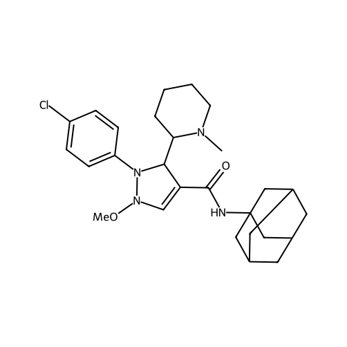 CON1C=C(C(=O)NC23CC4CC(CC(C4)C2)C3)C(C2CCCCN2C)N1c1ccc(Cl)cc1